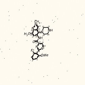 COc1cccc(F)c1-c1nccc(C(=O)Nc2cc(C)c3nn(C)cc3c2N2CCNCC2)n1